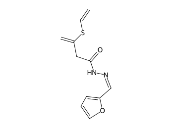 C=CSC(=C)CC(=O)N/N=C\c1ccco1